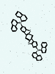 c1ccc2c(N(c3ccc4c(c3)sc3cc5c(cc34)sc3cc(N(c4cccc6ccccc46)c4cccc6ccccc46)ccc35)c3cccc4ccccc34)cccc2c1